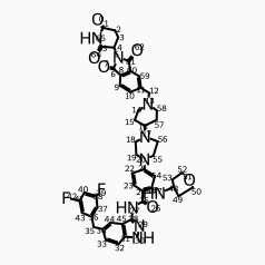 O=C1CCC(N2C(=O)c3ccc(CN4CCC(N5CCN(c6ccc(C(=O)Nc7n[nH]c8ccc(Cc9cc(F)cc(F)c9)cc78)c(NC7CCOCC7)c6)CC5)CC4)cc3C2=O)C(=O)N1